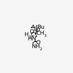 CC(C)(C)C1(S(=O)(=O)C(C)(C)CNC(=O)CN)CC1